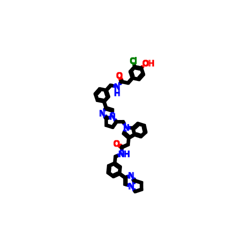 O=C(Cc1ccc(O)c(Cl)c1)NCc1cccc(-c2cn3c(n2)CCC3Cn2cc(CC(=O)NCc3cccc(-c4cn5c(n4)CCC5)c3)c3ccccc32)c1